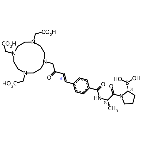 C[C@@H](NC(=O)c1ccc(/C=C/C(=O)CN2CCN(CC(=O)O)CCN(CC(=O)O)CCN(CC(=O)O)CC2)cc1)C(=O)N1CCC[C@H]1B(O)O